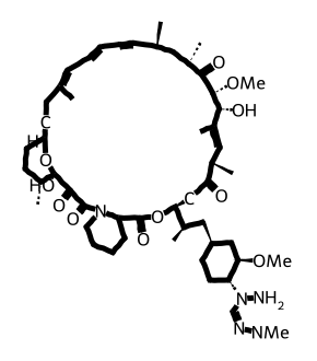 CN/N=C\N(N)[C@@H]1CC[C@@H](C[C@@H](C)[C@@H]2CC(=O)[C@H](C)/C=C(\C)[C@@H](O)[C@@H](OC)C(=O)[C@@H](C)C[C@H](C)/C=C/C=C/C=C(\C)CC[C@@H]3CC[C@@H](C)[C@@](O)(O3)C(=O)C(=O)N3CCCCC3C(=O)O2)C[C@H]1OC